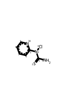 NC(=S)N(Cl)c1ccccn1